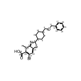 CN1C2=NC(C3CCC(COCc4ccccc4)CC3)SC2=CC(Br)=C1C(=O)O